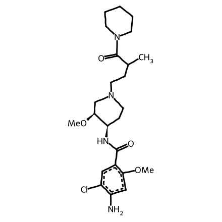 COc1cc(N)c(Cl)cc1C(=O)N[C@@H]1CCN(CCC(C)C(=O)N2CCCCC2)C[C@@H]1OC